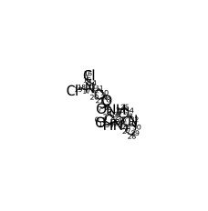 COc1cc(NC(=O)Oc2ccc(N(CCCl)CCCl)cc2)cc(Nc2c3ccccc3nc3ccccc23)c1